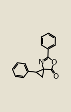 O=C1OC(c2ccccc2)=NC12CC2c1ccccc1